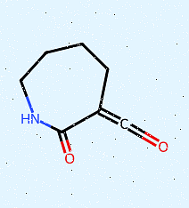 O=C=C1CCCCNC1=O